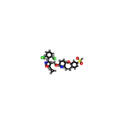 CS(=O)(=O)c1ccc2c(c1)Oc1ccc(OCc3c(-c4c(Cl)cccc4Cl)noc3C3CC3)nc1CC2